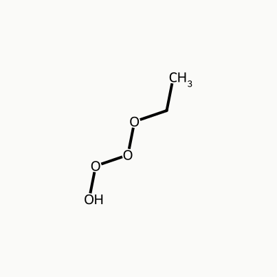 CCOOOO